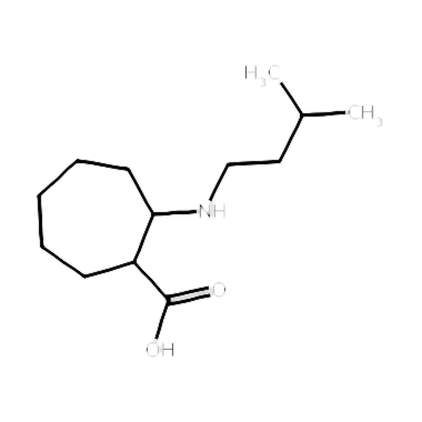 CC(C)CCNC1CCCCCC1C(=O)O